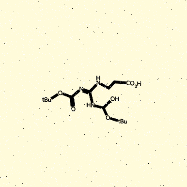 CC(C)(C)OC(=O)/N=C(/NCCC(=O)O)NC(O)OC(C)(C)C